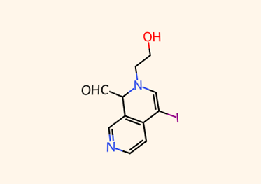 O=CC1c2cnccc2C(I)=CN1CCO